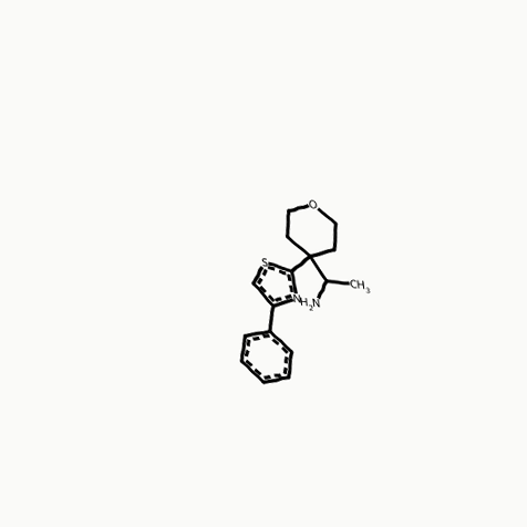 CC(N)C1(c2nc(-c3ccccc3)cs2)CCOCC1